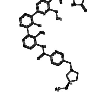 COc1nc(-c2ccnc(-c3cccc(NC(=O)c4ccc(CN5CC[C@@H](OC)C5)cn4)c3C)c2Cl)ccc1CNC[C@H]1CCC(=O)N1